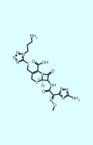 CO/N=C(/C(=O)NC1C(=O)N2C(C(=O)O)=C(CSc3nnnn3CCCN)CS[C@H]12)c1nsc(N)n1